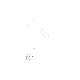 C[C@@H](Cn1cnnn1)Oc1cc(-c2cnc(Nc3cn([C@H]4CC[C@H](N5[C@@H]6CC[C@H]5COC6)CC4)nc3OCC3CCOC3)nc2)ccc1C#N